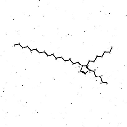 CCCCCCCCCCCCCCCCn1cc[n+](CCCCC)c1CCCCCCC